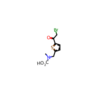 CN(Cc1ccc(C(=O)CBr)s1)C(=O)O